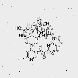 C[C@H]1CN(c2ccncc2NC(=O)c2ccc3ccn(C4=CC=C4)c3n2)C[C@@H](NC(=O)O)[C@H]1O[Si](C)(C)C(C)(C)C